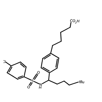 CC(C)(C)CCCC(NS(=O)(=O)c1ccc(Cl)cc1)c1ccc(CCCCC(=O)O)cc1